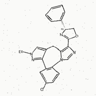 CCn1cc2c(n1)-c1cc(Cl)ccc1-n1cnc(C3=N[C@H](c4ccccc4)CO3)c1C2